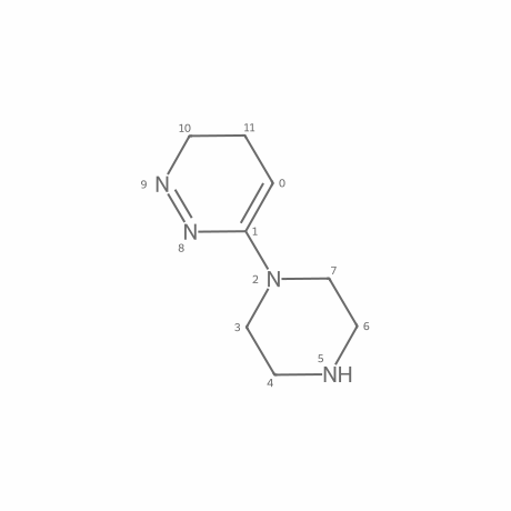 C1=C(N2CCNCC2)N=NCC1